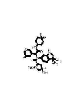 C[C@@]1(O)C[C@H](C(=O)N(c2ccc3c(c2)NCC3(C(F)(F)F)C(F)(F)F)C(C(=O)NC2CCC(F)(F)CC2)c2cncc(F)c2)N(C#N)C1